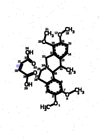 COc1cc2c(cc1OC)C1C(C)c3ccc(OC)c(OC)c3CN1CC2.O=C(O)/C=C\C(=O)O